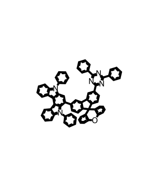 c1ccc(-c2nc(-c3ccccc3)nc(-c3ccc4c(c3)-c3cc(-c5cc6c(c7ccccc7n6-c6ccccc6)c6c7ccccc7n(-c7ccccc7)c56)ccc3C43c4ccccc4Oc4ccccc43)n2)cc1